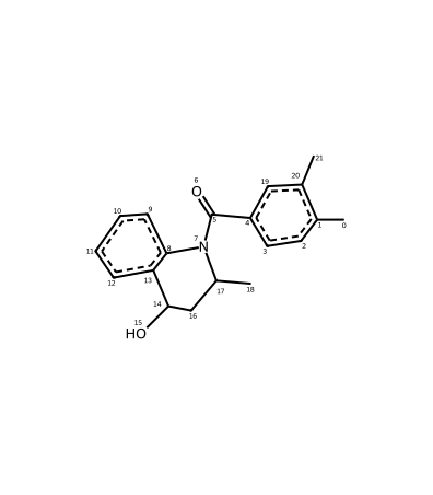 Cc1ccc(C(=O)N2c3ccccc3C(O)CC2C)cc1C